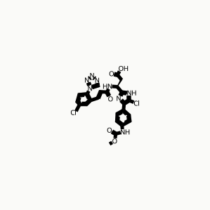 COC(=O)Nc1ccc(-c2nc([C@H](CC(=O)O)NC(=O)C=Cc3cc(Cl)ccc3-n3cnnn3)[nH]c2Cl)cc1